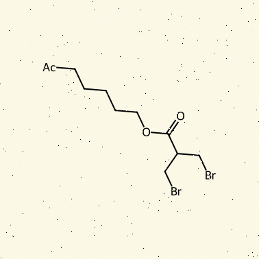 CC(=O)CCCCCOC(=O)C(CBr)CBr